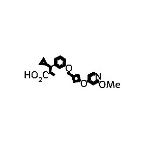 COc1cc(OC2CC(COc3cccc([C@H](C4CC4)[C@H](C)C(=O)O)c3)C2)ccn1